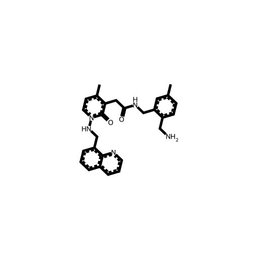 Cc1ccc(CN)c(CNC(=O)Cc2c(C)ccn(NCc3cccc4cccnc34)c2=O)c1